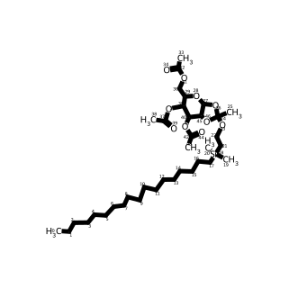 CCCCCCCCCCCCCCCCCC[Si](C)(C)CCOC1(C)OC2OC(COC(C)=O)C(OC(C)=O)C(OC(C)=O)C2O1